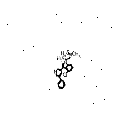 CC(CN(C)C)n1cc(-c2cncc(-c3ccccc3)c2)c2c(Cl)cccc21